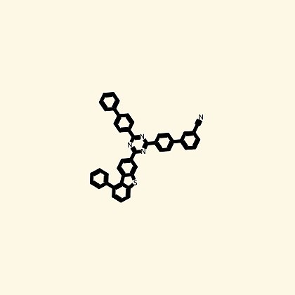 N#Cc1cccc(-c2ccc(-c3nc(-c4ccc(-c5ccccc5)cc4)nc(-c4ccc5c(c4)sc4cccc(-c6ccccc6)c45)n3)cc2)c1